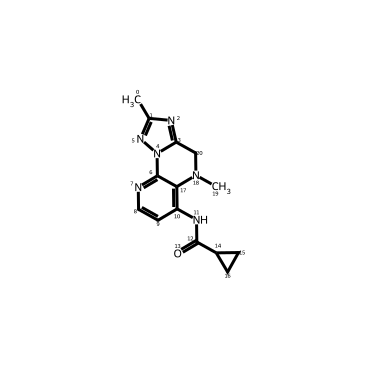 Cc1nc2n(n1)-c1nccc(NC(=O)C3CC3)c1N(C)C2